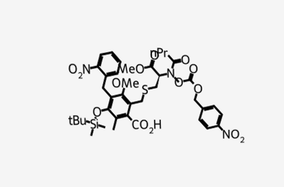 CCCC(=O)N(OC(=O)OCc1ccc([N+](=O)[O-])cc1)[C@@H](CSCc1c(OC)c(Cc2ccccc2[N+](=O)[O-])c(O[Si](C)(C)C(C)(C)C)c(C)c1C(=O)O)C(=O)OC